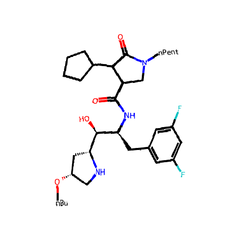 CCCCCN1CC(C(=O)N[C@@H](Cc2cc(F)cc(F)c2)[C@H](O)[C@H]2C[C@@H](OCCCC)CN2)C(C2CCCC2)C1=O